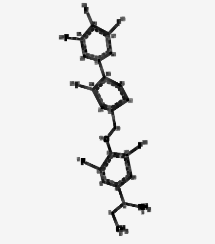 CCC(N)c1cc(F)c(OCc2ccc(-c3cc(F)c(F)c(F)c3)c(F)c2)c(F)c1